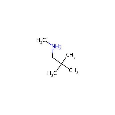 [CH2-][NH2+]CC(C)(C)C